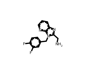 NCc1nc2cccnc2n1Cc1ccc(F)c(F)c1